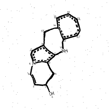 OC1C=Cn2cc3c(c2C1)Nc1ccccc1C3